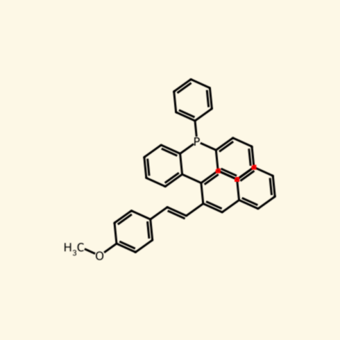 COc1ccc(C=Cc2cc3ccccc3cc2-c2ccccc2P(c2ccccc2)c2ccccc2)cc1